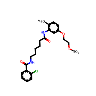 COc1ccc(OCCO[N+](=O)[O-])cc1NC(=O)CCCCCNC(=O)c1ccccc1Cl